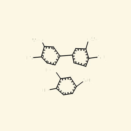 COc1cc(-c2ccc(N)c(OC)c2)ccc1N.Nc1ccc(O)c(C(=O)O)c1